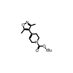 Cc1noc(C)c1C1=CCN(C(=O)OC(C)(C)C)CC1